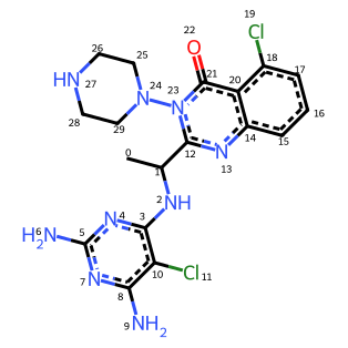 CC(Nc1nc(N)nc(N)c1Cl)c1nc2cccc(Cl)c2c(=O)n1N1CCNCC1